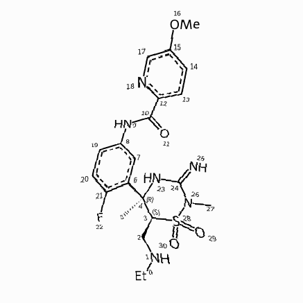 CCNC[C@H]1[C@@](C)(c2cc(NC(=O)c3ccc(OC)cn3)ccc2F)NC(=N)N(C)S1(=O)=O